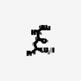 CCC(CC(=O)NC(C)(C)C)C(=O)O